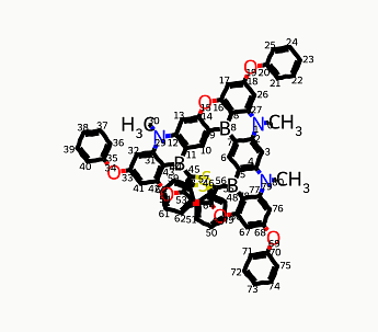 CN1c2cc3c(cc2B2c4cc5c(cc4Oc4cc(Oc6ccccc6)cc1c42)N(C)c1cc(Oc2ccccc2)cc2c1B5c1sc4ccccc4c1O2)B1c2sc4ccccc4c2Oc2cc(Oc4ccccc4)cc(c21)N3C